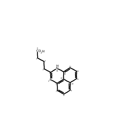 O=C(O)CCCC1=Nc2cccc3cccc(c23)N1